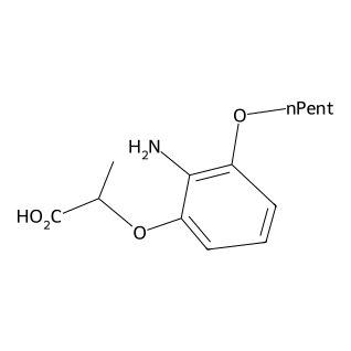 CCCCCOc1cccc(OC(C)C(=O)O)c1N